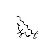 C=CCC(C)(C)C(=O)OC=C.CCCCCCCCCC(=O)O